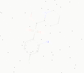 Nc1cc(Br)ccc1S(=O)(=O)C(OC=O)C1CCCCN1